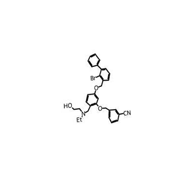 CCN(CCO)Cc1ccc(OCc2cccc(-c3ccccc3)c2Br)cc1OCc1cccc(C#N)c1